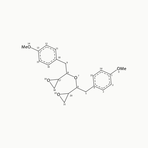 COc1ccc(CC(OC(Cc2ccc(OC)cc2)C2CO2)C2CO2)cc1